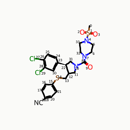 CS(=O)(=O)N1CCN(C(=O)N2CC(CSc3ccc(C#N)cc3)[C@@H](c3ccc(Cl)c(Cl)c3)C2)CC1